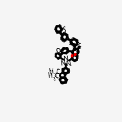 CC1(C)c2ccccc2-c2ccc(-c3nc(-c4ccccc4)nc(-c4cccc5oc6ccc(-c7cccc8sc9ccc(-c%10ccc%11c(c%10)sc%10ccccc%10%11)cc9c78)cc6c45)n3)cc21